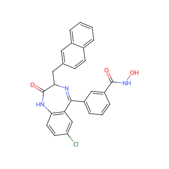 O=C(NO)c1cccc(C2=NC(Cc3ccc4ccccc4c3)C(=O)Nc3ccc(Cl)cc32)c1